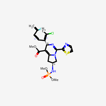 C=C(F)/C=C\C(=C(/C)Cl)[C@@H]1N=C(c2nccs2)N2C[C@@H](NP(=O)(OC)OC)CC2=C1C(=O)OC